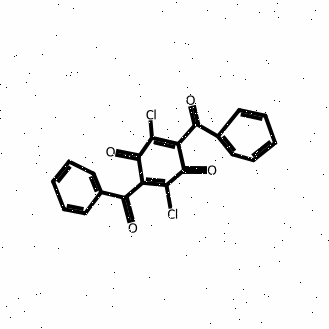 O=C1C(Cl)=C(C(=O)c2ccccc2)C(=O)C(Cl)=C1C(=O)c1ccccc1